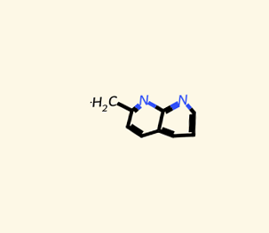 [CH2]c1ccc2cccnc2n1